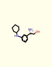 N[C@H](CO)c1cccc(NC2CCCCC2)c1